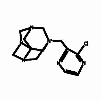 Clc1nccnc1C[N+]12CN3CN4CN(C1)C4(C3)C2